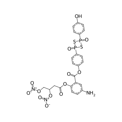 Nc1ccc(OC(=O)CC(CO[N+](=O)[O-])O[N+](=O)[O-])c(C(=O)Oc2ccc(P3(=O)SP(=O)(c4ccc(O)cc4)S3)cc2)c1